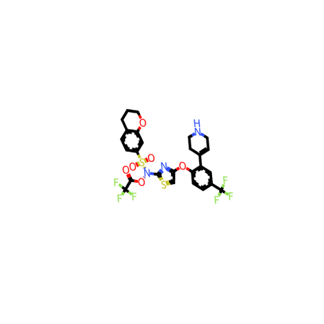 O=C(ON(c1nc(Oc2ccc(C(F)(F)F)cc2C2=CCNCC2)cs1)S(=O)(=O)c1ccc2c(c1)OCCC2)C(F)(F)F